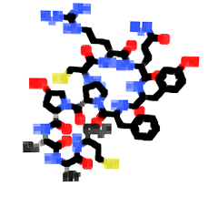 CCC[C@H](NC(=O)[C@@H](NC(=O)[C@@H]1C[C@@H](O)CN1C(=O)[C@@H]1CCCN1C(=O)[C@H](Cc1ccccc1)NC(=O)[C@H](Cc1ccc(O)cc1)NC(=O)[C@H](CCC(N)=O)NC(=O)[C@H](CCCNC(=N)N)NC(=O)[C@@H](N)CS)[C@@H](C)CC)C(=O)N[C@@H](CCS)C(=O)O